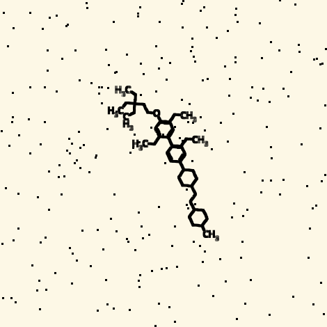 CCc1cc(-c2ccc(C3CCC(CCC4CCC(C)CC4)CC3)cc2CC)c(CC)cc1OCCC(CC)(CC)CC